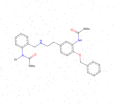 CCN(C(=O)NC)c1ccccc1CNCCc1ccc(OCc2ccccc2)c(NC(=O)NC)c1